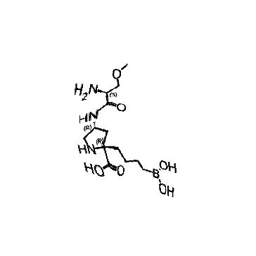 COC[C@H](N)C(=O)N[C@H]1CN[C@@](CCCCB(O)O)(C(=O)O)C1